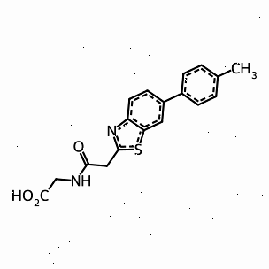 Cc1ccc(-c2ccc3nc(CC(=O)NCC(=O)O)sc3c2)cc1